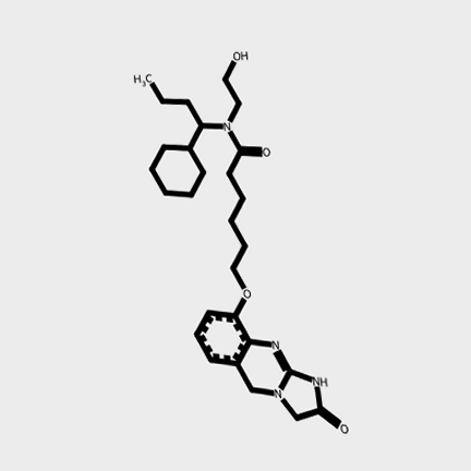 CCCC(C1CCCCC1)N(CCO)C(=O)CCCCCOc1cccc2c1N=C1NC(=O)CN1C2